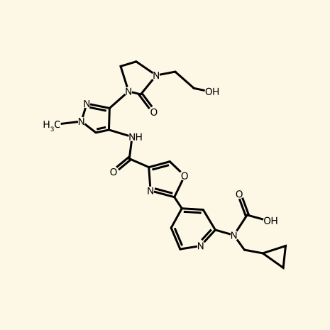 Cn1cc(NC(=O)c2coc(-c3ccnc(N(CC4CC4)C(=O)O)c3)n2)c(N2CCN(CCO)C2=O)n1